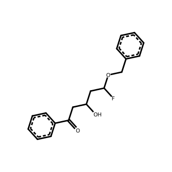 O=C(CC(O)CC(F)OCc1ccccc1)c1ccccc1